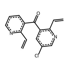 C=Cc1ncccc1C(=O)c1cc(Cl)cnc1C=C